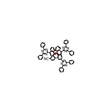 N#Cc1ccc(-c2cc(-c3nc(-c4ccccc4)nc(-c4ccccc4)n3)ccc2-n2c3ccccc3c3cc(-c4nc(-c5ccccc5)nc(-c5ccccc5)n4)ccc32)c(-n2c3ccccc3c3cc(-c4nc(-c5ccccc5)nc(-c5ccccc5)n4)ccc32)c1